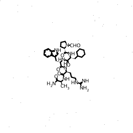 C[C@H](NC(=O)[C@H](CCCNC(=N)N)NC(=O)[C@H](Cc1c[nH]c2ccccc12)NC(=O)[C@@H](CC1CCCCC1)NC(=O)[C@@H]1CCCN1C=O)C(N)=O